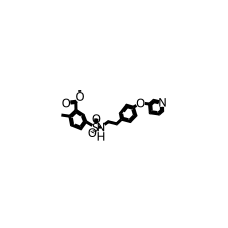 COC(=O)c1cc(S(=O)(=O)NCCc2ccc(Oc3cccnc3)cc2)ccc1C